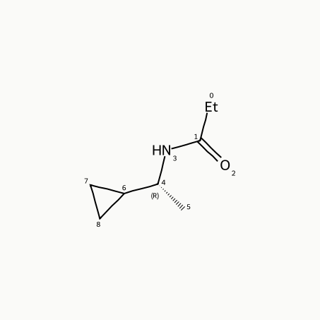 CCC(=O)N[C@H](C)C1CC1